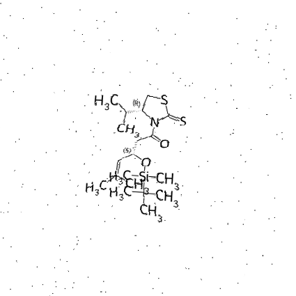 CC(C)=C[C@H](CC(=O)N1C(=S)SC[C@H]1C(C)C)O[Si](C)(C)C(C)(C)C